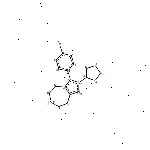 Fc1ccc(-c2c3c(nn2C2CCCC2)CCNCC3)cc1